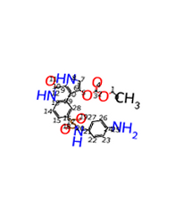 CCOC(=O)Oc1c[nH]c2c(=O)[nH]c3ccc(S(=O)(=O)Nc4ccc(N)cc4)cc3c12